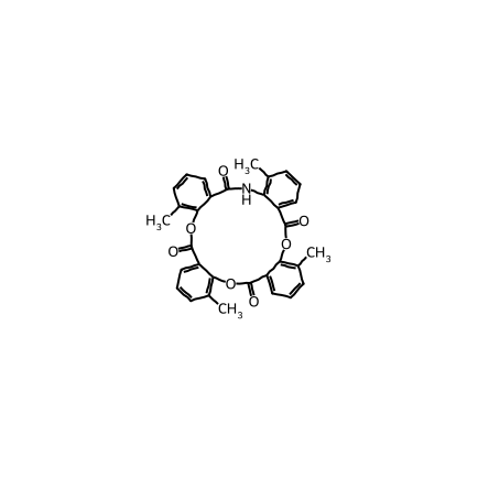 Cc1cccc2c1NC(=O)c1cccc(C)c1OC(=O)c1cccc(C)c1OC(=O)c1cccc(C)c1OC2=O